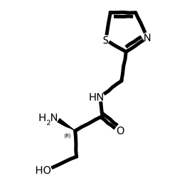 N[C@H](CO)C(=O)NCc1nccs1